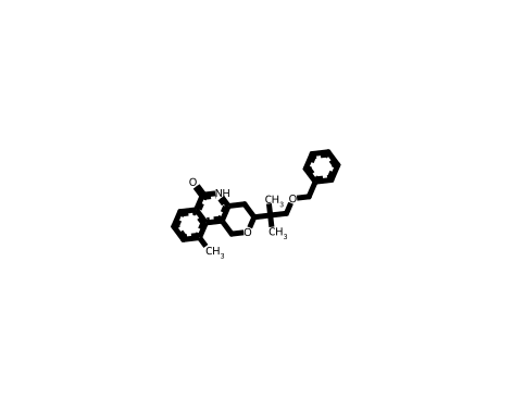 Cc1cccc2c(=O)[nH]c3c(c12)COC(C(C)(C)COCc1ccccc1)C3